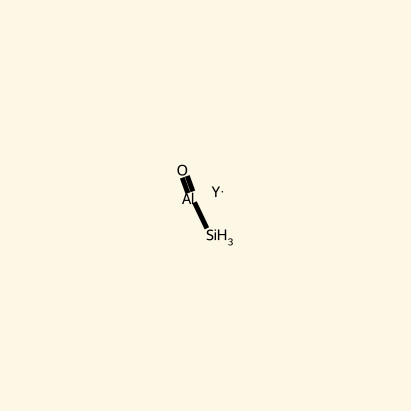 [O]=[Al][SiH3].[Y]